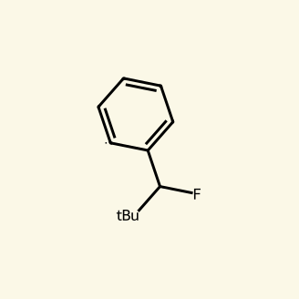 CC(C)(C)C(F)c1[c]cccc1